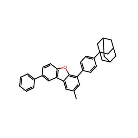 Cc1cc(-c2ccc(C34CC5CC(CC(C5)C3)C4)cc2)c2oc3ccc(-c4ccccc4)cc3c2c1